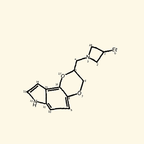 CCC1CN(CC2COc3ccc4[nH]ccc4c3O2)C1